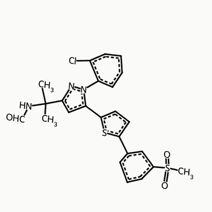 CC(C)(NC=O)c1cc(-c2ccc(-c3cccc(S(C)(=O)=O)c3)s2)n(-c2ccccc2Cl)n1